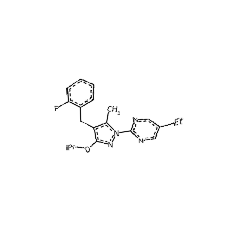 CCc1cnc(-n2nc(OC(C)C)c(Cc3ccccc3F)c2C)nc1